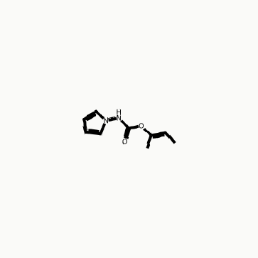 C/C=C(\C)OC(=O)Nn1cccc1